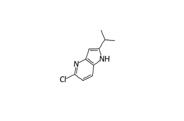 CC(C)c1cc2nc(Cl)ccc2[nH]1